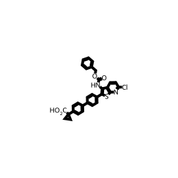 O=C(Nc1c(-c2ccc(-c3ccc(C4(C(=O)O)CC4)cc3)cc2)sc2nc(Cl)ccc12)OCc1ccccc1